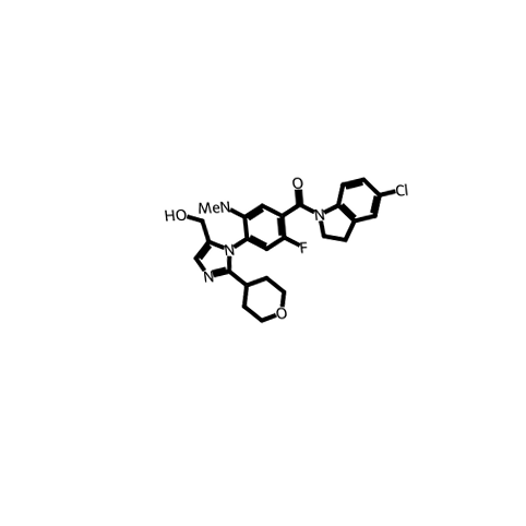 CNc1cc(C(=O)N2CCc3cc(Cl)ccc32)c(F)cc1-n1c(CO)cnc1C1CCOCC1